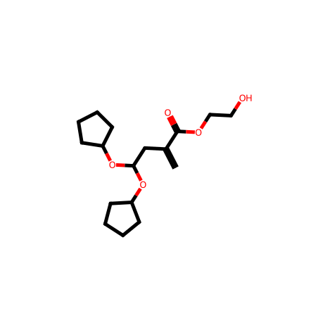 C=C(CC(OC1CCCC1)OC1CCCC1)C(=O)OCCO